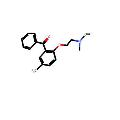 CC(=O)ON(C)CCOc1ccc(C(F)(F)F)cc1C(=O)c1ccccc1